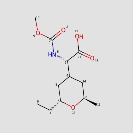 CC[C@@H]1CC([C@H](NC(=O)OC)C(=O)O)C[C@@H](C)O1